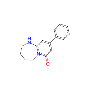 O=c1cc(-c2ccccc2)cc2n1CCCCN2